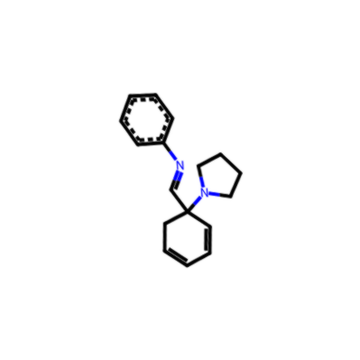 C1=CCC(C=Nc2ccccc2)(N2CCCC2)C=C1